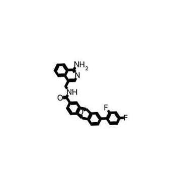 Nc1ncc(CNC(=O)c2ccc3c(c2)C2OC3c3ccc(-c4ccc(F)cc4F)cc32)c2ccccc12